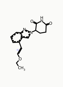 CCO/C=C/c1cccc2nn(C3CCC(=O)NC3=O)cc12